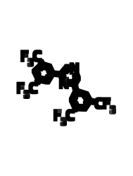 FC(F)(F)c1cc(-c2cncc(-c3cc(C(F)(F)F)cc(C(F)(F)F)c3)n2)cc(C(F)(F)F)c1